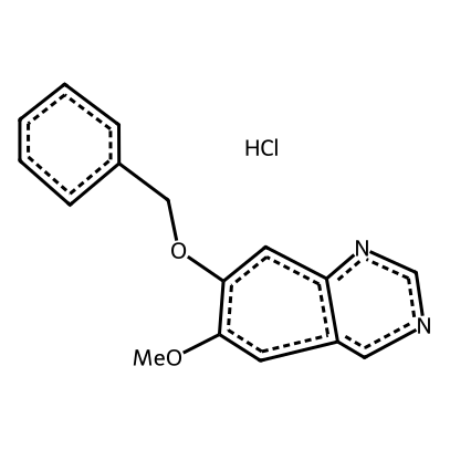 COc1cc2cncnc2cc1OCc1ccccc1.Cl